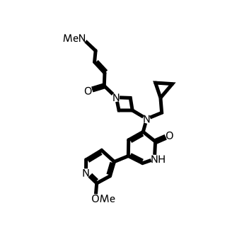 CNCC=CC(=O)N1CC(N(CC2CC2)c2cc(-c3ccnc(OC)c3)c[nH]c2=O)C1